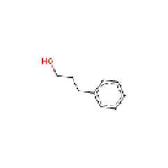 OCCCc1c[c]ccc1